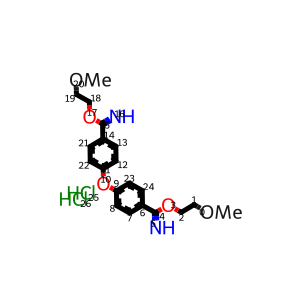 COCCOC(=N)c1ccc(Oc2ccc(C(=N)OCCOC)cc2)cc1.Cl.Cl